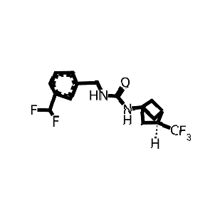 O=C(NCc1cccc(C(F)F)c1)NC12CC(C1)[C@@H](C(F)(F)F)C2